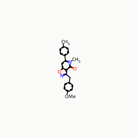 COc1ccc(Cc2noc3cc(-c4ccc(C)cc4)n(C)c(=O)c23)cc1